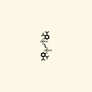 CC(C)c1cccc(OP(=O)(O)OCCOP(=O)(O)Oc2cccc(C(C)C)c2C(C)C)c1C(C)C